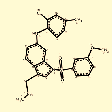 CNCc1cn(S(=O)(=O)c2cccc(OC)c2)c2cc(Nc3ccc(C)cc3Cl)ccc12